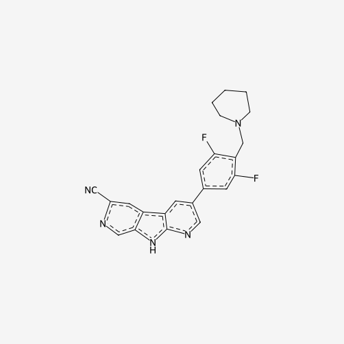 N#Cc1cc2c(cn1)[nH]c1ncc(-c3cc(F)c(CN4CCCCC4)c(F)c3)cc12